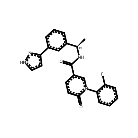 C[C@@H](NC(=O)c1ccc(=O)n(-c2ccccc2F)c1)c1cccc(-c2cc[nH]n2)c1